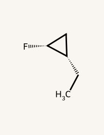 CC[C@H]1C[C@H]1F